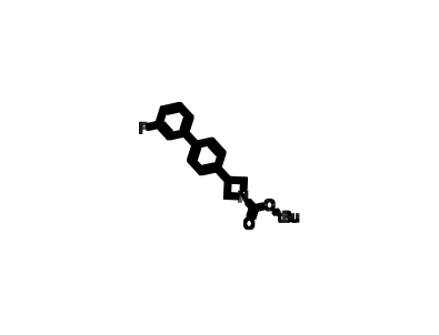 CC(C)(C)OC(=O)N1CC(c2ccc(-c3cccc(F)c3)cc2)C1